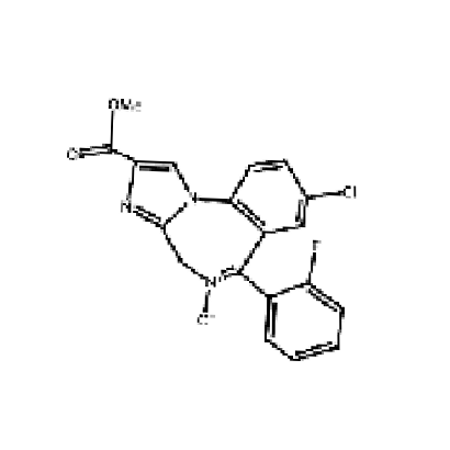 COC(=O)c1cn2c(n1)C[N+]([O-])=C(c1ccccc1F)c1cc(Cl)ccc1-2